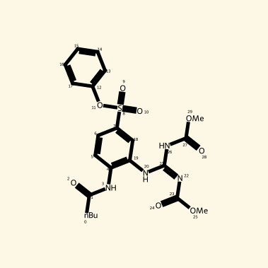 CCCCC(=O)Nc1ccc(S(=O)(=O)Oc2ccccc2)cc1NC(=NC(=O)OC)NC(=O)OC